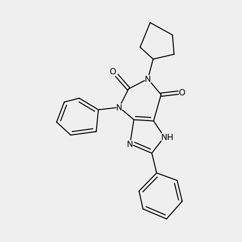 O=c1c2[nH]c(-c3ccccc3)nc2n(-c2ccccc2)c(=O)n1C1CCCC1